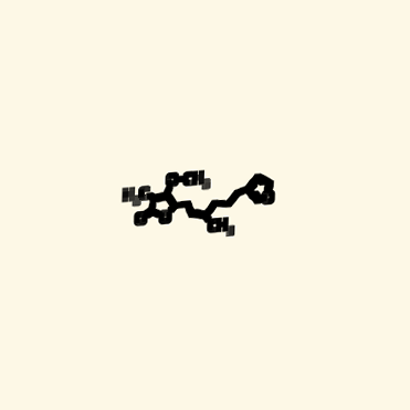 COC1=C(C)C(=O)OC1CC=C(C)CCCc1ccoc1